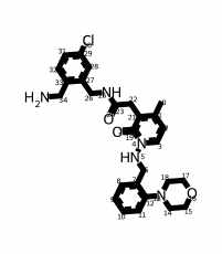 Cc1ccn(NCc2ccccc2N2CCOCC2)c(=O)c1CC(=O)NCc1cc(Cl)ccc1CN